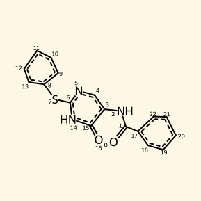 O=C(Nc1cnc(Sc2ccccc2)[nH]c1=O)c1ccccc1